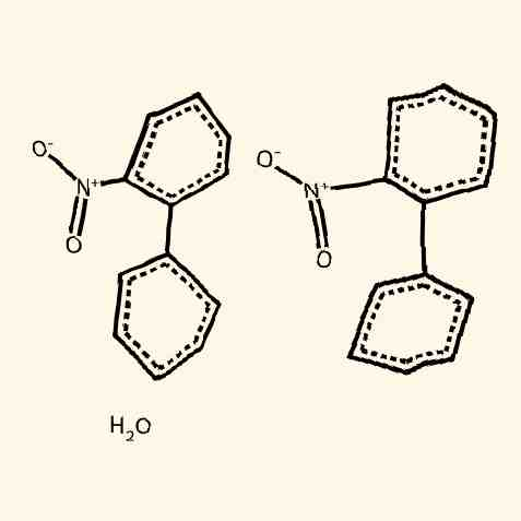 O.O=[N+]([O-])c1ccccc1-c1ccccc1.O=[N+]([O-])c1ccccc1-c1ccccc1